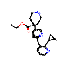 CCOC(=O)C1(c2ccc(-c3cccnc3C3CC3)nc2)CCNCC1